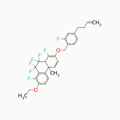 C=CCCc1ccc(COC2=C(F)C3C(C)(C=C2)c2ccc(OCC)c(F)c2C(F)(F)C3(F)F)c(F)c1